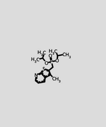 Cc1c(CP(=O)(OC(C)C)OC(C)C)sc2ncccc12